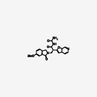 COc1ccc2c(c1)C(=O)N(C[C@@H](C(=O)NC(N)=O)c1cc3ccncc3o1)C2